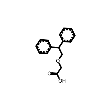 O=C(O)COCC(c1ccccc1)c1ccccc1